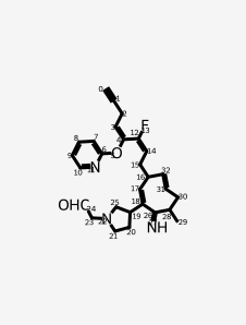 C#CC/C=C(Oc1ccccn1)\C(F)=C/CC1/C=C(/C2CCN(CC=O)C2)C(=N)C(C)C/C=C/1